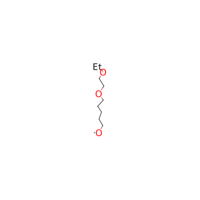 CCOCCOCCCCC[O]